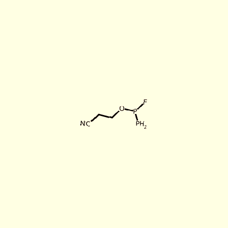 N#CCCOP(F)P